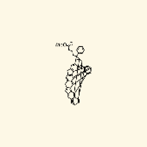 COC(=O)CCCC1(c2ccccc2)C2c3cc4c5c6c(cc7c8c6c6c9c%10c(c3c59)C3C5=c9c%11c(cc%12cc(c%13c%12c%11c(c9%10)c6c%138)C7)=CC5CC321)C4